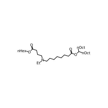 CCCCCCCCC(CCCCCCCC)OC(=O)CCCCCCCN(CC)CCCC(=O)OCCCCCC